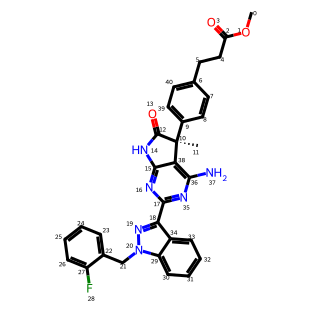 COC(=O)CCc1ccc([C@]2(C)C(=O)Nc3nc(-c4nn(Cc5ccccc5F)c5ccccc45)nc(N)c32)cc1